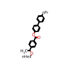 CCCCCCOC(C)c1ccc(C(=O)Oc2ccc(-c3ccc(CCC)cc3)cc2)cc1